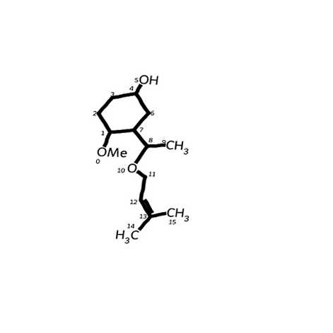 COC1CCC(O)CC1C(C)OCC=C(C)C